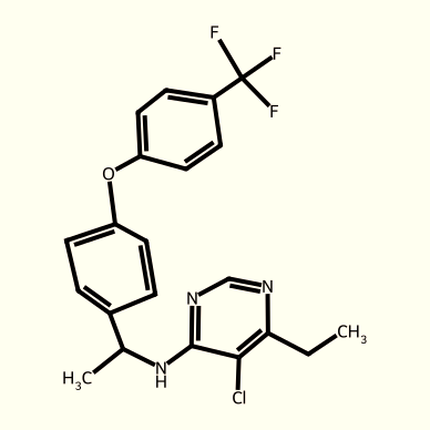 CCc1ncnc(NC(C)c2ccc(Oc3ccc(C(F)(F)F)cc3)cc2)c1Cl